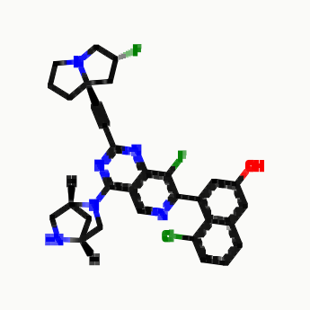 Oc1cc(-c2ncc3c(N4C[C@H]5C[C@@H]4CN5)nc(C#C[C@@]45CCCN4C[C@H](F)C5)nc3c2F)c2c(Cl)cccc2c1